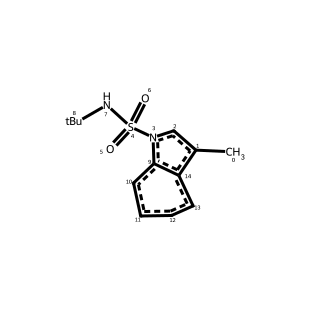 Cc1cn(S(=O)(=O)NC(C)(C)C)c2ccccc12